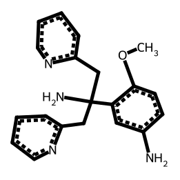 COc1ccc(N)cc1C(N)(Cc1ccccn1)Cc1ccccn1